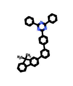 CC1(C)c2ccccc2-c2ccc(-c3cccc(-c4ccc(-c5nc(-c6ccccc6)nc(-c6ccccc6)n5)cc4)c3)cc21